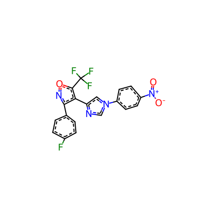 O=[N+]([O-])c1ccc(-n2cnc(-c3c(-c4ccc(F)cc4)noc3C(F)(F)F)c2)cc1